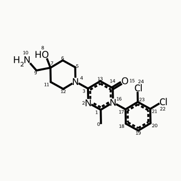 Cc1nc(N2CCC(O)(CN)CC2)cc(=O)n1-c1cccc(Cl)c1Cl